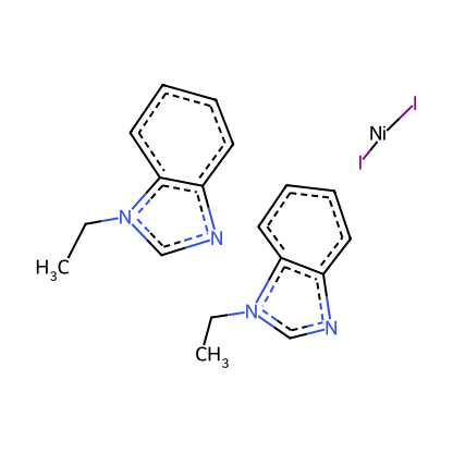 CCn1cnc2ccccc21.CCn1cnc2ccccc21.[I][Ni][I]